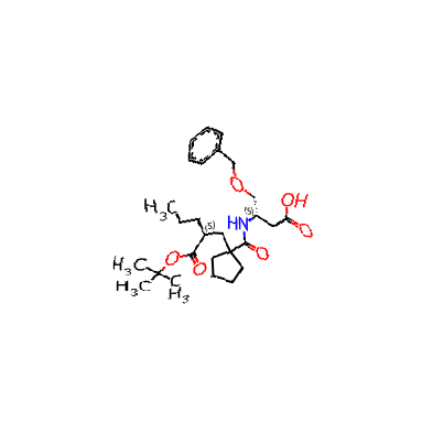 CCC[C@@H](CC1(C(=O)N[C@H](COCc2ccccc2)CC(=O)O)CCCC1)C(=O)OC(C)(C)C